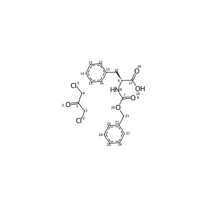 O=C(CCl)CCl.O=C(N[C@@H](Cc1ccccc1)C(=O)O)OCc1ccccc1